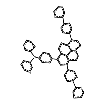 c1ccc(N(c2ccc(-c3cc(-c4ccc(-c5ccccn5)nc4)c4ccc5ccc(-c6ccc(-c7ccccn7)nc6)c6ccc3c4c56)cc2)c2cccnc2)cc1